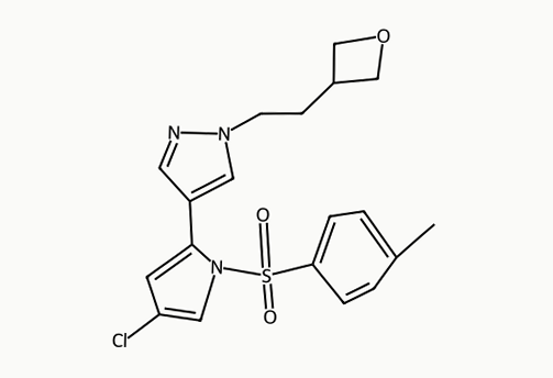 Cc1ccc(S(=O)(=O)n2cc(Cl)cc2-c2cnn(CCC3COC3)c2)cc1